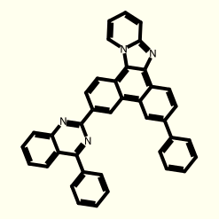 c1ccc(-c2ccc3c(c2)c2cc(-c4nc(-c5ccccc5)c5ccccc5n4)ccc2c2c3nc3ccccn32)cc1